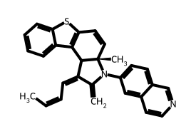 C=C1/C(=C\C=C/C)C2c3c(sc4ccccc34)C=C[C@]2(C)N1c1ccc2cnccc2c1